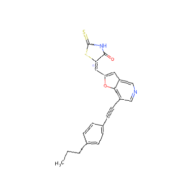 CCCc1ccc(C#Cc2cncc3cc(/C=C4/SC(=S)NC4=O)oc23)cc1